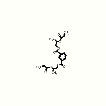 C=CC(=O)OC(C)COC(=O)c1cccc(C(=O)OCC(C)OC(=O)C=C)c1